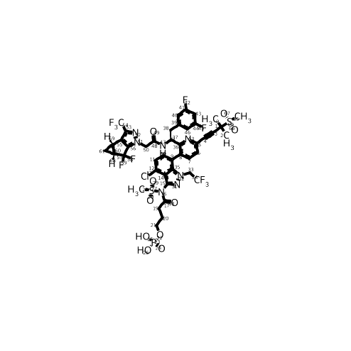 CC(C)(C#Cc1ccc(-c2ccc(Cl)c3c(N(C(=O)CCCOP(=O)(O)O)S(C)(=O)=O)nn(CC(F)(F)F)c23)c([C@H](Cc2cc(F)cc(F)c2)NC(=O)Cn2nc(C(F)(F)F)c3c2C(F)(F)[C@@H]2C[C@H]32)n1)S(C)(=O)=O